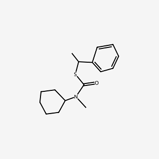 CC(SC(=O)N(C)C1CCCCC1)c1ccccc1